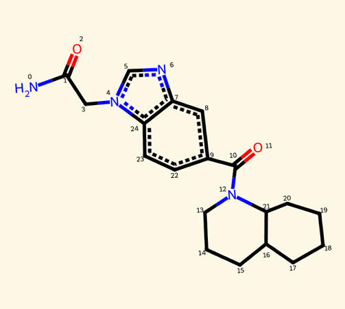 NC(=O)Cn1cnc2cc(C(=O)N3CCCC4CCCCC43)ccc21